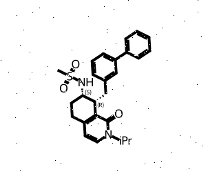 CC(C)n1ccc2c(c1=O)[C@@H](Cc1cccc(-c3ccccc3)c1)[C@@H](NS(C)(=O)=O)CC2